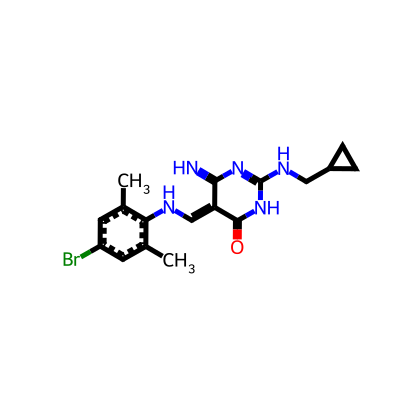 Cc1cc(Br)cc(C)c1N/C=C1\C(=N)N=C(NCC2CC2)NC1=O